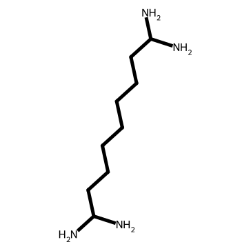 NC(N)CCCCCCCC(N)N